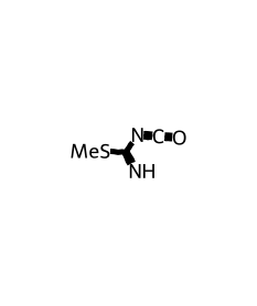 CSC(=N)N=C=O